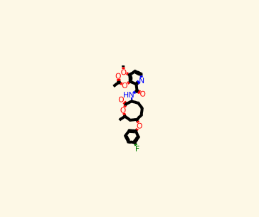 COc1ccnc(C(=O)N[C@H]2CCCC(Oc3cccc(F)c3)CC(C)OC2=O)c1OC(C)=O